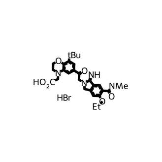 Br.CCOc1cc2c(cc1C(=O)NC)C(=N)N(CC(=O)c1cc3c(c(C(C)(C)C)c1)OCCN3CC(=O)O)C2